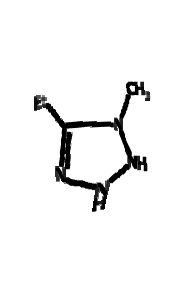 CCC1=NNNN1C